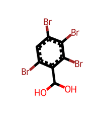 OC(O)c1c(Br)cc(Br)c(Br)c1Br